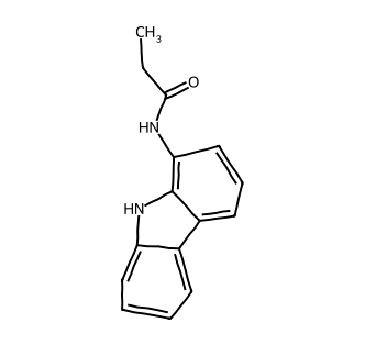 CCC(=O)Nc1cccc2c1[nH]c1ccccc12